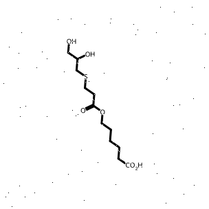 O=C(O)CCCCCOC(=O)CCSCC(O)CO